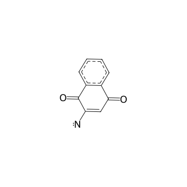 [N]C1=CC(=O)c2ccccc2C1=O